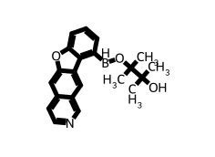 CC(C)(O)C(C)(C)OBc1cccc2oc3cc4ccncc4cc3c12